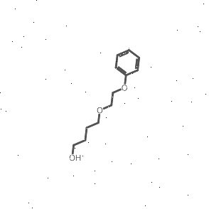 OCCCCOCCOc1cc[c]cc1